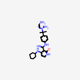 CC(C)(c1ccc(NC(=N)c2c(NC3CCCCC3)cc[nH]c2=O)cc1)N(N)/C=C\N